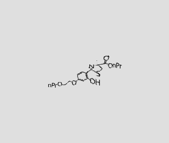 CCCOCCOc1ccc(C2=N[C@@](C)(C(=O)OCCC)CS2)c(O)c1